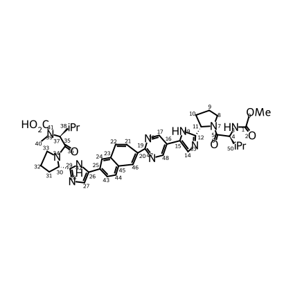 COC(=O)N[C@H](C(=O)N1CCC[C@H]1c1ncc(-c2cnc(-c3ccc4cc(-c5cnc([C@@H]6CCCN6C(=O)[C@H](C(C)C)N(C)C(=O)O)[nH]5)ccc4c3)nc2)[nH]1)C(C)C